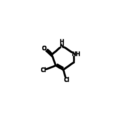 O=C1NNCC(Cl)=C1Cl